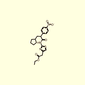 CCOC(=O)Cc1csc(NC(=O)C(CC2CCCC2)c2ccc([N+](=O)[O-])cc2)n1